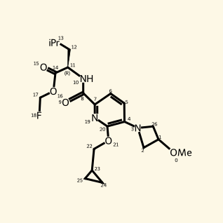 COC1CN(c2ccc(C(=O)N[C@H](CC(C)C)C(=O)OCF)nc2OCC2CC2)C1